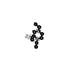 CC1(C)c2ccccc2-c2c(-c3nc(-c4ccc(-c5ccccc5)cc4)nc(-c4cccc(-c5cccc(-c6cc(-c7cccc(-c8ccccc8)c7)nc(-c7ccccc7)n6)c5)c4)n3)cccc21